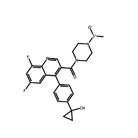 C[S+]([O-])N1CCN(C(=O)c2cnc3c(F)cc(F)cc3c2-c2ccc(C3(C#N)CC3)cc2)CC1